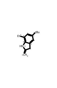 C=C1Cc2cc(C(C)(C)C)cc(CC)c2N1